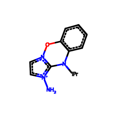 CC(C)N1c2ccccc2On2cc[n+](N)c21